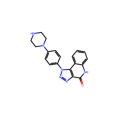 O=c1[nH]c2ccccc2c2c1nnn2-c1ccc(N2CCNCC2)cc1